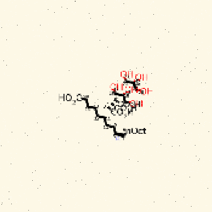 CC(=O)O.CC(=O)O.CC(=O)O.CCCCCCCC/C=C\CCCCCCCC(=O)O.OCC(O)CO.OCC(O)CO